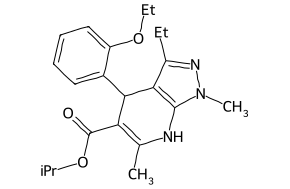 CCOc1ccccc1C1C(C(=O)OC(C)C)=C(C)Nc2c1c(CC)nn2C